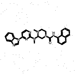 CN1CCN(C(=O)Nc2cccc3ccccc23)CC1N(C)c1nccc(-n2cnc3ccccc32)n1